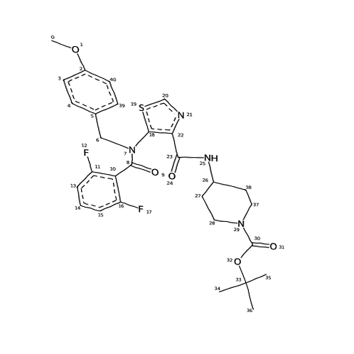 COc1ccc(CN(C(=O)c2c(F)cccc2F)c2scnc2C(=O)NC2CCN(C(=O)OC(C)(C)C)CC2)cc1